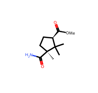 COC(=O)[C@@H]1CC[C@](C)(C(N)=O)C1(C)C